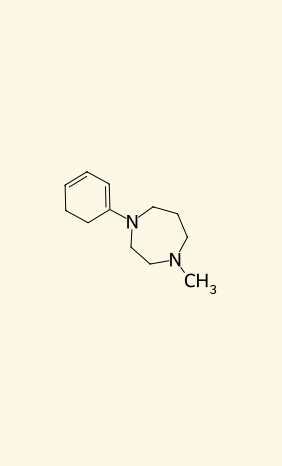 CN1CCCN(C2=CC=CCC2)CC1